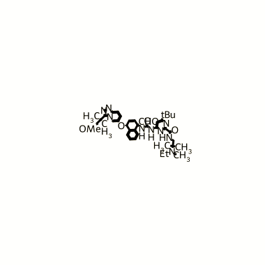 CCN(C)C(C)(C)CNC(=O)c1nc(NC(=O)N[C@@]2(C=O)C=C[C@@H](Oc3ccc4nnc(C(C)(C)COC)n4c3)c3ccccc32)cc(C(C)(C)C)n1